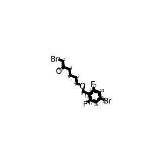 O=C(CBr)CCCCOCc1c(F)cc(Br)cc1F